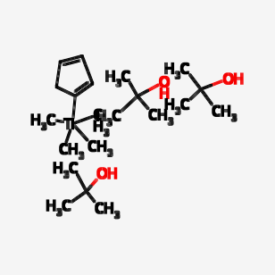 CC(C)(C)O.CC(C)(C)O.CC(C)(C)O.[CH3][Ti]([CH3])([CH3])([CH3])[C]1=CC=CC1